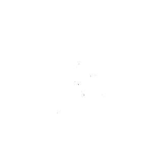 CCOC(=O)NN(C#N)C1CCCC1